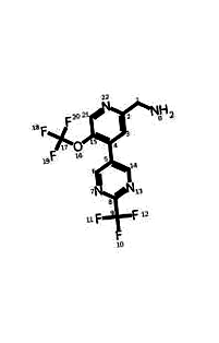 NCc1cc(-c2cnc(C(F)(F)F)nc2)c(OC(F)(F)F)cn1